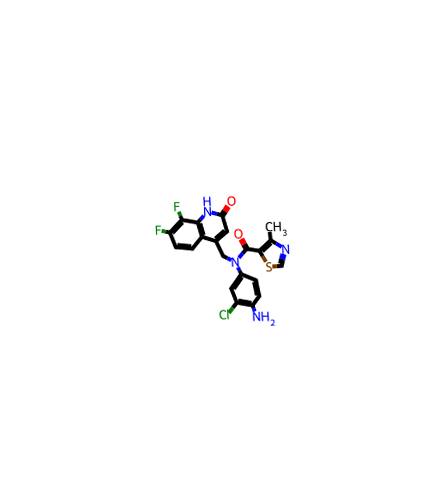 Cc1ncsc1C(=O)N(Cc1cc(=O)[nH]c2c(F)c(F)ccc12)c1ccc(N)c(Cl)c1